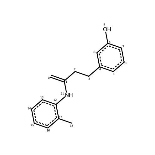 C=C(CCc1cccc(O)c1)Nc1ccccc1C